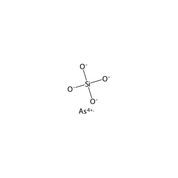 [As+4].[O-][Si]([O-])([O-])[O-]